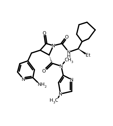 CC[C@@H](NC(=O)N1C(=O)C(Cc2ccnc(N)c2)[C@H]1C(=O)N(C)c1cn(C)cn1)C1CCCCC1